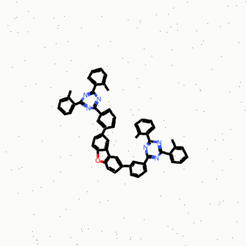 Cc1ccccc1-c1nc(-c2cccc(-c3ccc4oc5ccc(-c6cccc(-c7nc(-c8ccccc8C)nc(-c8ccccc8C)n7)c6)cc5c4c3)c2)nc(-c2ccccc2C)n1